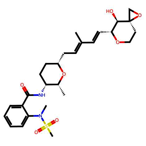 CC(/C=C/[C@H]1OCC[C@@]2(CO2)[C@@H]1O)=C\C[C@H]1CC[C@@H](NC(=O)c2ccccc2N(C)S(C)(=O)=O)[C@@H](C)O1